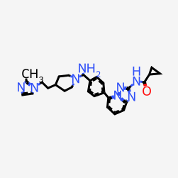 Cc1nccn1CCC1CCN(C(N)c2ccc(-c3cccc4nc(NC(=O)C5CC5)nn34)cc2)CC1